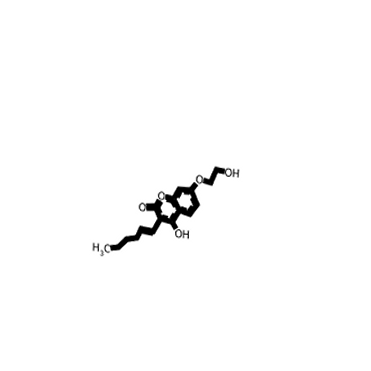 CCCCC=Cc1c(O)c2ccc(OCCO)cc2oc1=O